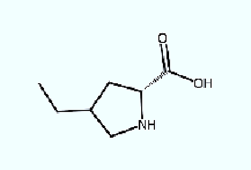 CCC1CN[C@@H](C(=O)O)C1